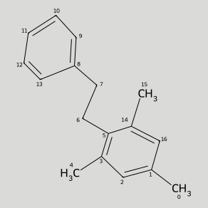 Cc1cc(C)c(CCc2ccccc2)c(C)c1